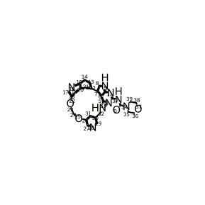 O=C(Nc1nc2c3c(c[nH]c3n1)-c1ccc3ncc(cc3c1)OCCOc1cncc(c1)CN2)N1CCOCC1